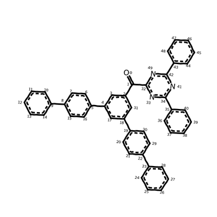 O=C(c1cc(-c2ccc(-c3ccccc3)cc2)cc(-c2ccc(-c3ccccc3)cc2)c1)c1nc(-c2ccccc2)nc(-c2ccccc2)n1